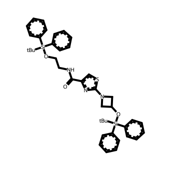 CC(C)(C)[Si](OCCNC(=O)c1csc(N2CC(O[Si](c3ccccc3)(c3ccccc3)C(C)(C)C)C2)n1)(c1ccccc1)c1ccccc1